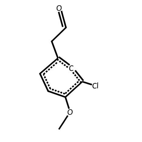 COc1ccc(CC=O)cc1Cl